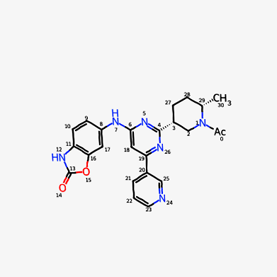 CC(=O)N1C[C@H](c2nc(Nc3ccc4[nH]c(=O)oc4c3)cc(-c3cccnc3)n2)CC[C@@H]1C